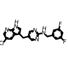 Fc1cc(F)cc(CNc2ncc(Cc3c[nH]c4ncc(Cl)cc34)cn2)c1